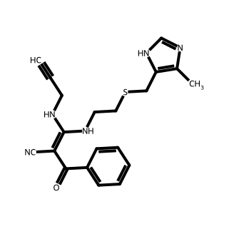 C#CCNC(NCCSCc1[nH]cnc1C)=C(C#N)C(=O)c1ccccc1